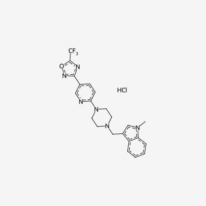 Cl.Cn1cc(CN2CCN(c3ccc(-c4noc(C(F)(F)F)n4)cn3)CC2)c2ccccc21